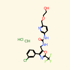 Cl.Cl.O=C(NCc1oc(C(F)(F)F)nc1-c1cccc(Cl)c1)Nc1ccc(COCCO)nc1